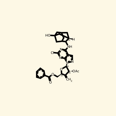 C=C1[C@@H](OC(C)=O)[C@H](n2ncc3c(NC4C5CC6C[C@H]4CC(O)(C6)C5)nc(Cl)nc32)O[C@@H]1COC(=O)c1ccccc1